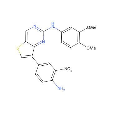 COc1ccc(Nc2ncc3scc(-c4ccc(N)c([N+](=O)[O-])c4)c3n2)cc1OC